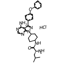 CN[C@@H](CC(C)C)C(=O)NC1CCC(n2nc(-c3ccc(Oc4ccccc4)cc3)c3c(N)ncnc32)CC1.Cl